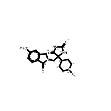 COc1ccc2c(c1)CN(CC1(C3CCN(C(C)=O)CC3)NC(=O)NC1=O)C2=O